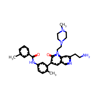 Cc1cccc(C(=O)Nc2ccc(C)c(-c3cc4cnc(CCN)cc4n(CCN4CCN(C)CC4)c3=O)c2)c1